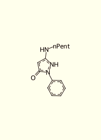 CCCCCNc1cc(=O)n(-c2ccccc2)[nH]1